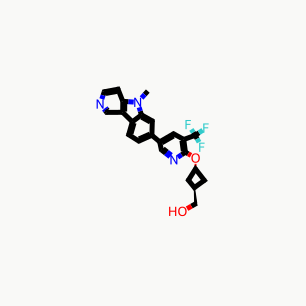 Cn1c2ccncc2c2ccc(-c3cnc(O[C@H]4C[C@H](CO)C4)c(C(F)(F)F)c3)cc21